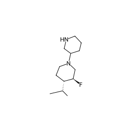 CC(C)[C@@H]1CCN(C2CCCNC2)C[C@H]1F